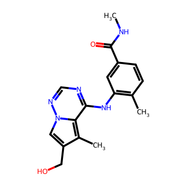 CNC(=O)c1ccc(C)c(Nc2ncnn3cc(CO)c(C)c23)c1